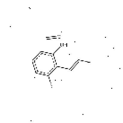 C=O.CC=Cc1c(C)cccc1O